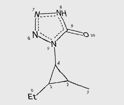 CCC1C(C)C1n1nn[nH]c1=O